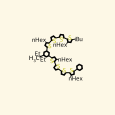 CCCCCCc1cc(-c2ccccc2)sc1-c1ccc(-c2ccc(-c3sc(-c4cc(-c5cc(CCCCCC)c(-c6ccc(-c7ccc(-c8sc(C(C)CC)cc8CCCCCC)s7)s6)s5)cc(C(C)(CC)CC)c4)cc3CCCCCC)s2)s1